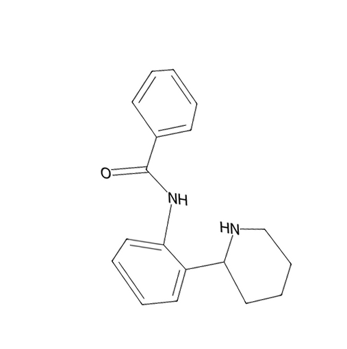 O=C(Nc1ccccc1C1CCCCN1)c1ccccc1